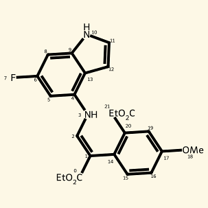 CCOC(=O)C(=CNc1cc(F)cc2[nH]ccc12)c1ccc(OC)cc1C(=O)OCC